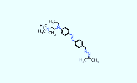 CCN(CC[N+](C)(C)C)c1ccc(N=Nc2ccc(/C=N/N=C(C)C)cc2)cc1